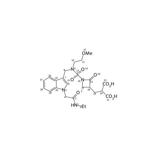 CCNC(=O)Cn1cc(CN(CCOC)S(=O)(=O)N2CC(CC(C(=O)O)C(=O)O)C2=O)c2ccccc21